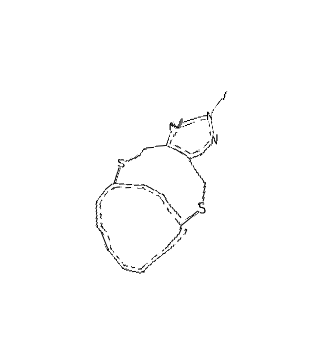 In1nc2c(n1)CSc1ccccccc(cc1)SC2